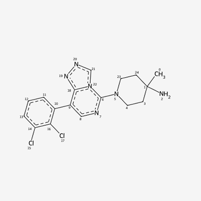 CC1(N)CCN(c2ncc(-c3cccc(Cl)c3Cl)c3nncn23)CC1